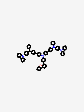 c1ccc(C(c2ccc(-c3ccc(N(c4ccc(-c5ccc(N(c6ccccc6)c6ccc(-n7c8ccccc8c8ccccc87)cc6)cc5)cc4)c4ccc(-c5cccc6c5oc5ccccc56)cc4)cc3)cc2)c2ccc(-n3c4ccccc4c4ccccc43)cc2)cc1